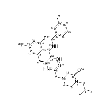 CC(C)CN1CCN(CC(=O)N[C@@H](Cc2cc(F)cc(F)c2)[C@@H](O)CNCc2cccc(I)c2)CC1=O